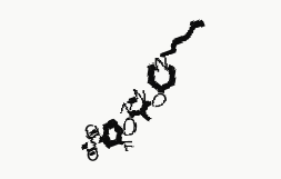 CCCCCCN1CCC(Oc2ncnc(Oc3ccc(S(C)(=O)=O)cc3F)c2C)CC1